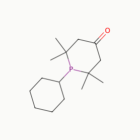 CC1(C)CC(=O)CC(C)(C)P1C1CCCCC1